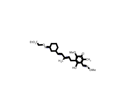 CCOC(=O)CO/N=C1\CCCC(/C=C/C(C)=C/Cc2c(O)c(/C=N/OC)c(C)c(Cl)c2OC)C1